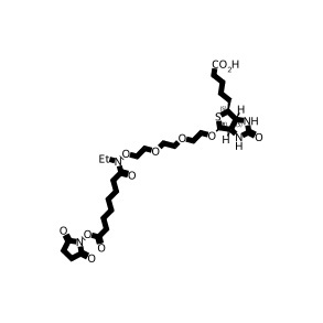 CCN(OCCOCCOCCO[C@@H]1S[C@@H](CCCCC(=O)O)[C@H]2NC(=O)N[C@H]21)C(=O)CCCCCCC(=O)ON1C(=O)CCC1=O